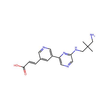 CC(C)(CN)CNc1cncc(-c2cncc(C=CC(=O)O)c2)n1